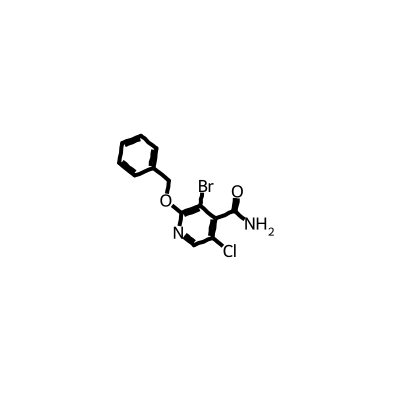 NC(=O)c1c(Cl)cnc(OCc2ccccc2)c1Br